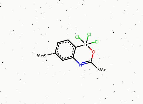 COc1ccc2c(c1)N=C(SC)O[Te]2(Cl)(Cl)Cl